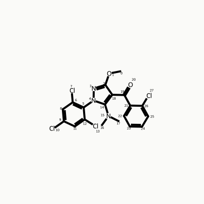 COc1nn(-c2c(Cl)cc(Cl)cc2Cl)c(N(C)C)c1C(=O)c1ccccc1Cl